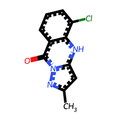 Cc1cc2[nH]c3c(Cl)cccc3c(=O)n2n1